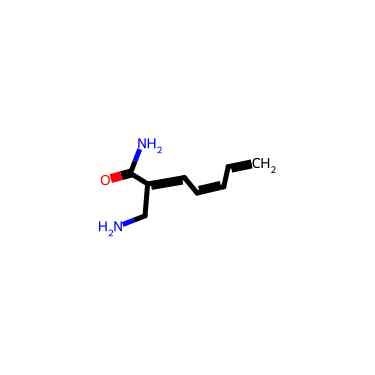 C=C/C=C\C=C(/CN)C(N)=O